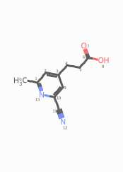 Cc1cc(CCC(=O)O)cc(C#N)n1